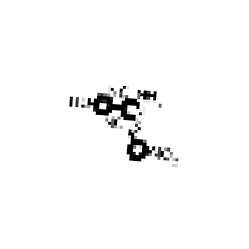 N#Cc1c(N)nc(SCc2cccc([N+](=O)[O-])c2)c(C#N)c1-c1ccc(O)cc1